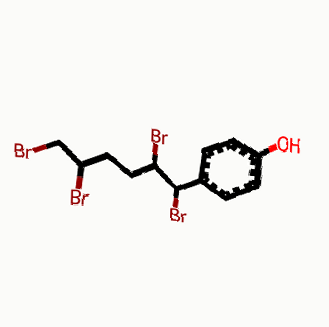 Oc1ccc(C(Br)C(Br)CCC(Br)CBr)cc1